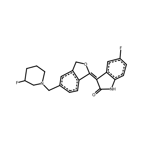 O=C1Nc2ccc(F)cc2C1=C1OCc2cc(CN3CCCC(F)C3)ccc21